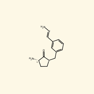 NN=Cc1cccc(CN2CC[C@H](N)C2=O)c1